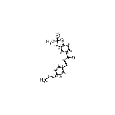 CCOc1ccc(C=CC(=O)c2ccc3c(c2)CC(C)(C)O3)cc1